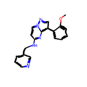 COc1ccccc1-c1cnn2ccc(NCc3cccnc3)nc12